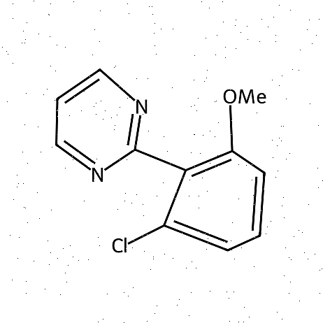 COc1cccc(Cl)c1-c1ncccn1